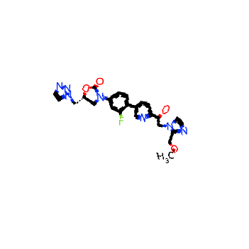 COCc1nccn1CC(=O)c1ccc(-c2ccc(N3C[C@H](Cn4ccnn4)OC3=O)cc2F)cn1